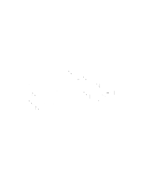 C[C@H](Nc1ncc2c(-c3ccc4nnn(C)c4c3)c[nH]c2n1)C(F)(F)F